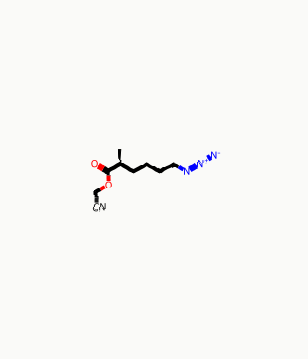 C[C@@H](CCCCN=[N+]=[N-])C(=O)OCC#N